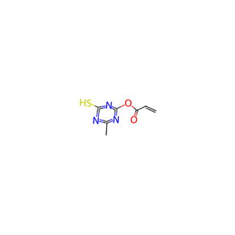 C=CC(=O)Oc1nc(C)nc(S)n1